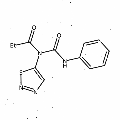 CCC(=O)N(C(=O)Nc1ccccc1)c1cnns1